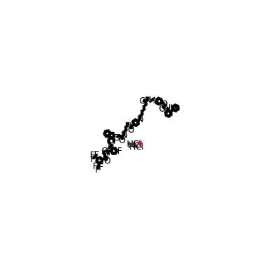 CN(CCN1CCC(OC(=O)Nc2ccccc2-c2ccccc2)CC1)C(=O)CCCCCCN(C)c1ccc(C(=O)N(C)CCCN(C)C(=O)CO[C@H]2Cc3ccccc3C23CCN(CC[C@]2(c4ccc(F)cc4)CN(C(=O)c4cc(C(F)(F)F)cc(C(F)(F)F)c4)CO2)CC3)cc1.Cl.Cl.Cl